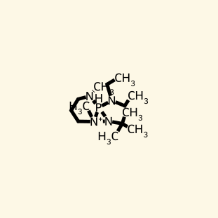 CCN(CC)[PH]12N(C)CCC[N+]1(C)N2C(C)(C)C